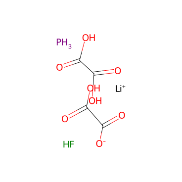 F.O=C(O)C(=O)O.O=C([O-])C(=O)O.P.[Li+]